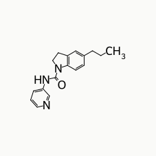 CCCc1ccc2c(c1)CCN2C(=O)Nc1cccnc1